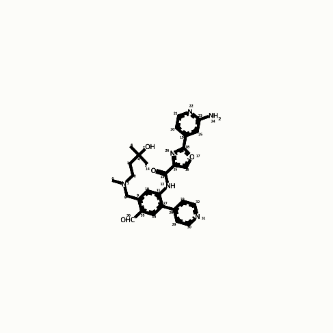 CN(CCC(C)(C)O)Cc1cc(NC(=O)c2coc(-c3ccnc(N)c3)n2)c(-c2ccncc2)cc1C=O